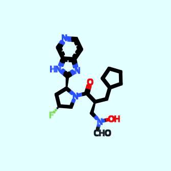 O=CN(O)C[C@H](CC1CCCC1)C(=O)N1C[C@H](F)C[C@H]1c1nc2ccncc2[nH]1